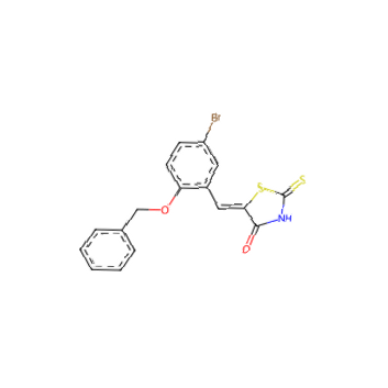 O=C1NC(=S)S/C1=C\c1cc(Br)ccc1OCc1ccccc1